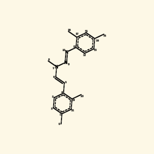 Cc1ccc(C=CN(C)N=Nc2ccc(C)cc2C)c(C)c1